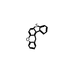 c1ccc2c(c1)Cc1c(ccc3sc4ccccc4c13)O2